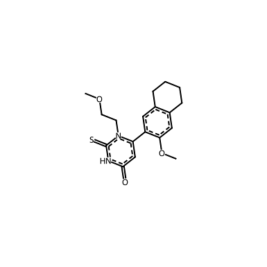 COCCn1c(-c2cc3c(cc2OC)CCCC3)cc(=O)[nH]c1=S